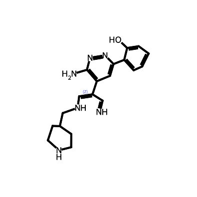 N=C/C(=C\NCC1CCNCC1)c1cc(-c2ccccc2O)nnc1N